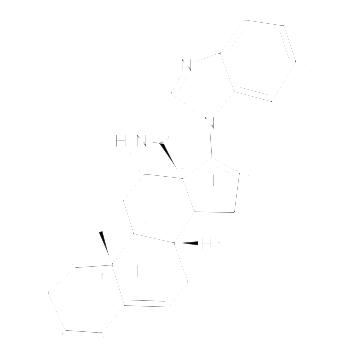 C[C@]12CCCCC1=CC[C@H]1[C@@H]3CC=C(n4cnc5ccccc54)[C@@]3(CN)CC[C@@H]12